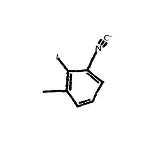 [C-]#[N+]c1cccc(C)c1I